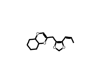 C/C=C\C1=C(CC2=COC3CCCCC3O2)OCO1